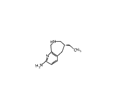 CC[C@@H]1CNCc2nc(N)ccc2C1